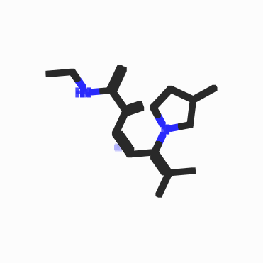 C=C(/C=C\C(=C(C)C)N1CCC(C)C1)C(=C)NCC